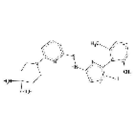 Cc1cccc(C)c1-c1nc(NSc2cccc(N3CCC(N)(C(=O)O)CC3)n2)ccc1Cl